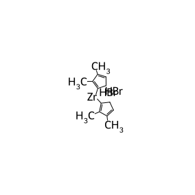 Br.Br.CC1=CC[C]([Zr][C]2=C(C)C(C)=CC2)=C1C